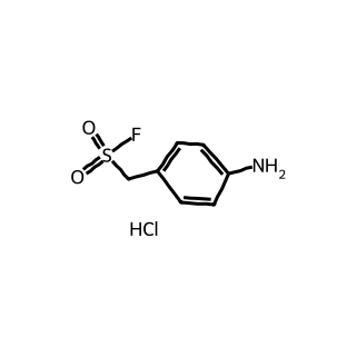 Cl.Nc1ccc(CS(=O)(=O)F)cc1